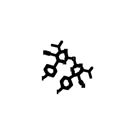 CC(C)c1nc(Oc2nc(-c3ccc(F)cc3)c(C#N)c(C(C)C)n2)nc(-c2ccc(F)cc2)c1C#N